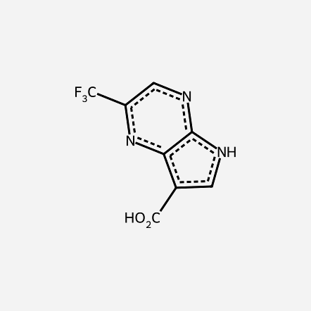 O=C(O)c1c[nH]c2ncc(C(F)(F)F)nc12